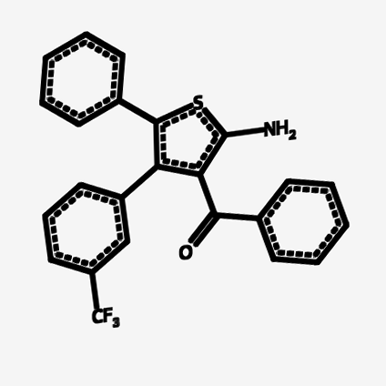 Nc1sc(-c2ccccc2)c(-c2cccc(C(F)(F)F)c2)c1C(=O)c1ccccc1